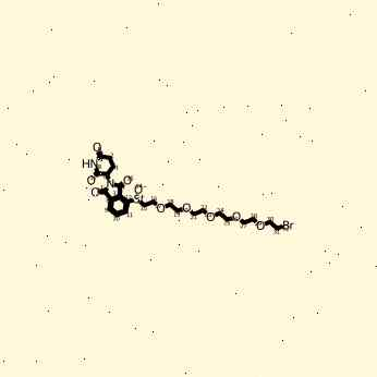 O=C1CCC(N2C(=O)c3cccc([S+]([O-])CCOCCOCCOCCOCCOCCBr)c3C2=O)C(=O)N1